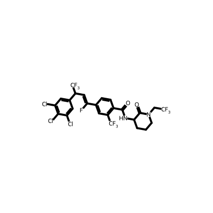 O=C(NC1CCCN(CC(F)(F)F)C1=O)c1ccc(C(F)=CC(c2cc(Cl)c(Cl)c(Cl)c2)C(F)(F)F)cc1C(F)(F)F